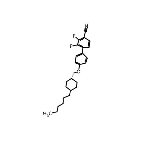 CCCCCC[C@H]1CC[C@H](COc2ccc(-c3ccc(C#N)c(F)c3F)cc2)CC1